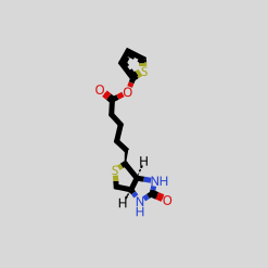 O=C1N[C@H]2[C@H](CS[C@H]2CCCCC(=O)Oc2cccs2)N1